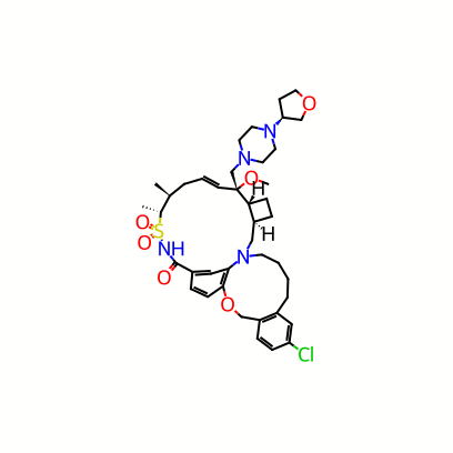 CO[C@@]1(CN2CCN([C@H]3CCOC3)CC2)/C=C/C[C@H](C)[C@@H](C)S(=O)(=O)NC(=O)c2ccc3c(c2)N(CCCCc2cc(Cl)ccc2CO3)C[C@@H]2CC[C@H]21